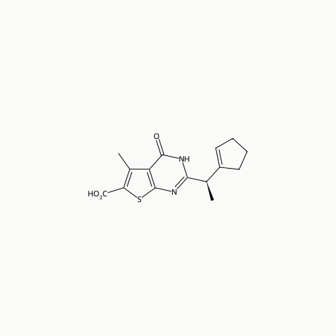 Cc1c(C(=O)O)sc2nc([C@H](C)C3=CCCC3)[nH]c(=O)c12